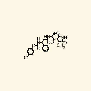 CC(C)[C@H](NC(=O)CC(NC(=O)Oc1ccc(Cl)cc1)c1ccccc1)C(=O)[C@@H]1C(=O)NC(=O)[C@H]1C